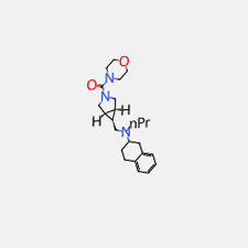 CCCN(C[C@H]1[C@@H]2CN(C(=O)N3CCOCC3)C[C@@H]21)C1CCc2ccccc2C1